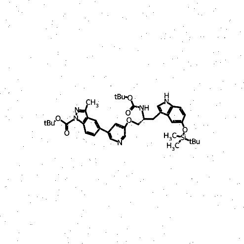 Cc1nn(C(=O)OC(C)(C)C)c2ccc(-c3cncc(OC[C@H](Cc4c[nH]c5ccc(O[Si](C)(C)C(C)(C)C)cc45)NC(=O)OC(C)(C)C)c3)cc12